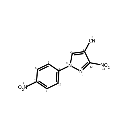 N#Cc1cn(-c2ccc([N+](=O)[O-])cc2)nc1[N+](=O)[O-]